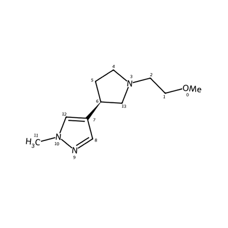 COCCN1CC[C@H](c2cnn(C)c2)C1